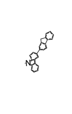 Cn1c2ccccc2c2cc(-c3ccc4c(c3)Cc3ccccc3-4)ccc21